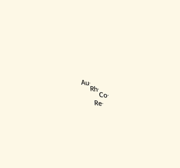 [Au].[Co].[Re].[Rh]